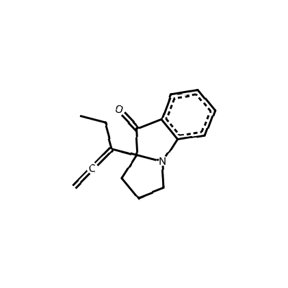 C=C=C(CC)C12CCCN1c1ccccc1C2=O